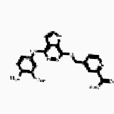 CNC(=O)c1cc(COc2nnc(Nc3ccc(C)c(OC)c3)c3ccoc23)ccn1